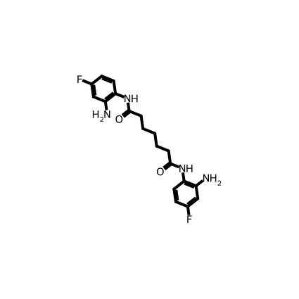 Nc1cc(F)ccc1NC(=O)CCCCCC(=O)Nc1ccc(F)cc1N